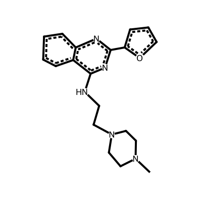 CN1CCN(CCNc2nc(-c3ccco3)nc3ccccc23)CC1